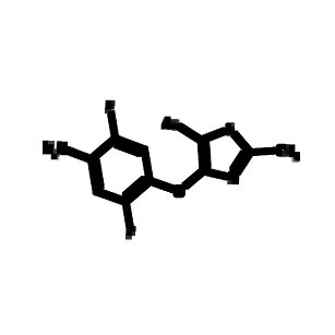 CC(=O)c1sc(C)nc1Oc1cc(F)c(N)cc1F